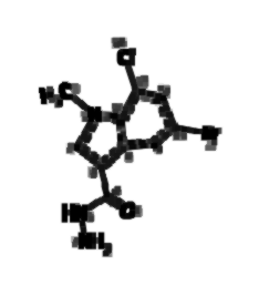 Cn1cc(C(=O)NN)c2cc(Br)cc(Cl)c21